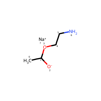 CC([O-])OCCN.[Na+]